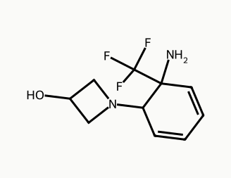 NC1(C(F)(F)F)C=CC=CC1N1CC(O)C1